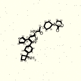 NC1(c2ccc(-c3nnc(NC(=O)C[C@H]4CC[C@H](N5CCOC5=O)CC4)cc3-c3ccsc3)cc2)CCC1